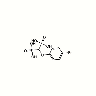 O=P(O)(O)C(Oc1ccc(Br)cc1)P(=O)(O)O